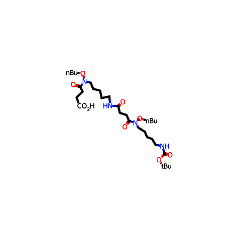 CCCCON(CCCCCNC(=O)CCC(=O)N(CCCCCNC(=O)OC(C)(C)C)OCCCC)C(=O)CCC(=O)O